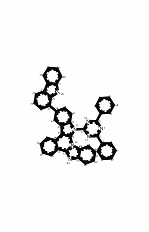 c1ccc(-c2nc(-c3ccccc3)nc(-n3c4ccc(-c5cccc6c5sc5ccccc56)cc4c4c5ccccc5c5nc6ccccc6n5c43)n2)cc1